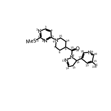 CSc1nccc(N2CCC(C(=O)N3N=CCC3c3cncc(F)c3)CC2)n1